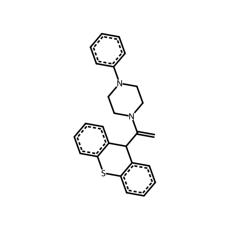 C=C(C1c2ccccc2Sc2ccccc21)N1CCN(c2ccccc2)CC1